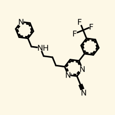 N#Cc1nc(CCCNCc2ccncc2)cc(-c2cccc(C(F)(F)F)c2)n1